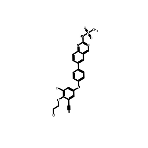 CS(=O)(=O)Nc1ncc2cc(-c3ccc(Oc4cc(Cl)c(OCCCl)c(C#N)c4)cc3)ccc2n1